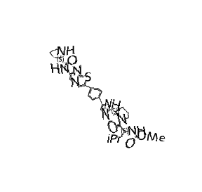 COC(=O)N[C@H](C(=O)N1CCC[C@H]1c1ncc(-c2ccc(-c3cn4cc(NC(=O)[C@@H]5CCCN5)nc4s3)cc2)[nH]1)C(C)C